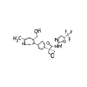 Cc1cc(CO)c(-c2ccc(C3(C(=O)Nc4ncc(C(F)(F)F)o4)COC3)cc2)cn1